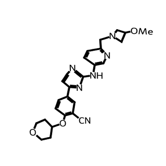 COC1CN(Cc2ccc(Nc3nccc(-c4ccc(OC5CCOCC5)c(C#N)c4)n3)cn2)C1